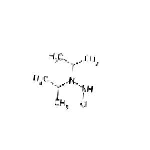 CC(C)N(NCl)C(C)C